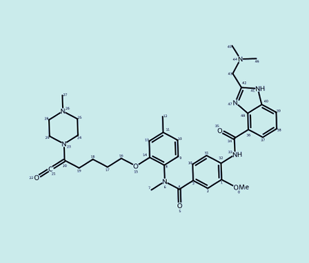 COc1cc(C(=O)N(C)c2ccc(C)cc2OCCCCC(=C=O)N2CCN(C)CC2)ccc1NC(=O)c1cccc2[nH]c(CN(C)C)nc12